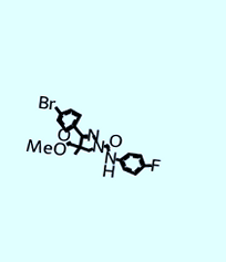 COC(=O)C1(C)CN(C(=O)Nc2ccc(F)cc2)N=C1c1ccc(Br)cc1